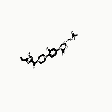 CCc1nc(C(=S)N2CCN(c3ccc(N4C[C@H](CNC(C)=O)OC4=O)cc3F)CC2)n[nH]1